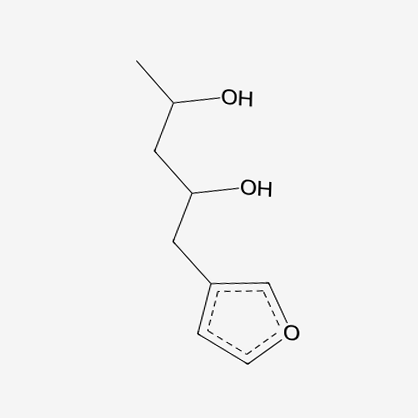 CC(O)CC(O)Cc1ccoc1